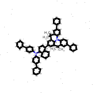 CC1(C)c2cc(-c3ccccc3)ccc2N2c3ccc(-c4ccccc4)cc3C(C)(C)c3cc(-c4ccc(N(c5ccc(-c6ccccc6)cc5)c5ccc(-c6ccccc6)cc5)c5ccccc45)cc1c32